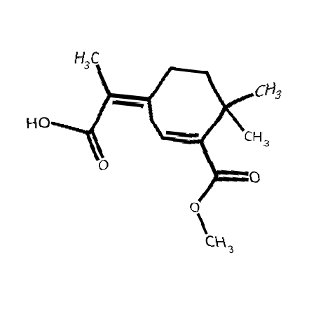 COC(=O)C1=CC(=C(C)C(=O)O)CCC1(C)C